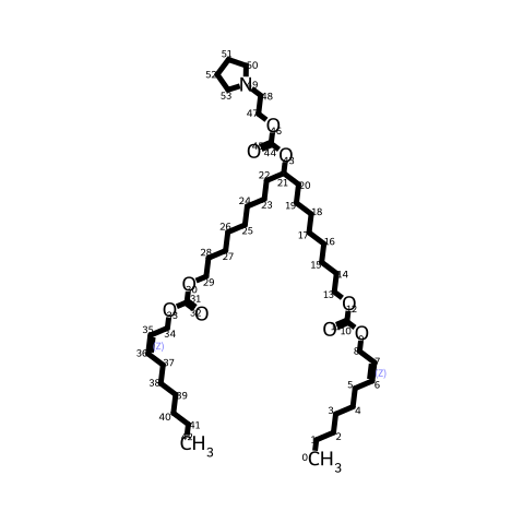 CCCCCC/C=C\COC(=O)OCCCCCCCCC(CCCCCCCCOC(=O)OC/C=C\CCCCCC)OC(=O)OCCN1CCCC1